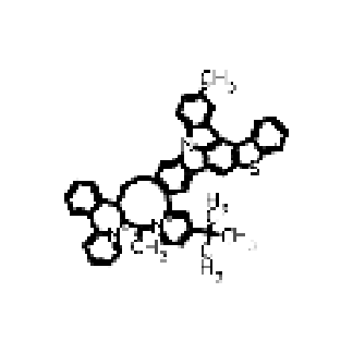 C=C1C2C(CCc3cc4c(cc3-c3cc(C(C)(C)C)cc[n+]31)c1cc3sc5ccccc5c3c3c5cc(C)ccc5n4c13)c1ccccc1-c1cccc[n+]12